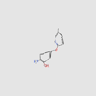 Cc1ccc(Oc2ccc(N)c(O)c2)nc1